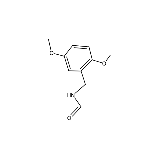 COc1ccc(OC)c(CNC=O)c1